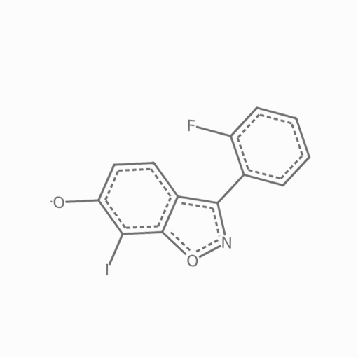 [O]c1ccc2c(-c3ccccc3F)noc2c1I